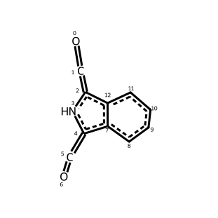 O=C=c1[nH]c(=C=O)c2ccccc12